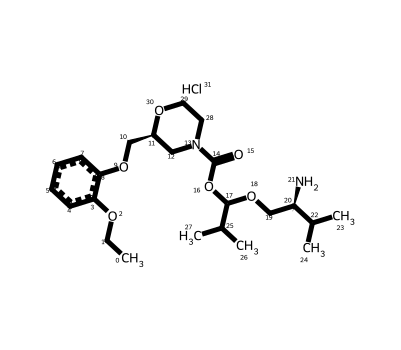 CCOc1ccccc1OC[C@@H]1CN(C(=O)OC(OC[C@@H](N)C(C)C)C(C)C)CCO1.Cl